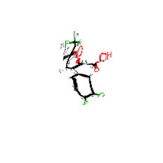 C[C@H]1[C@@H](c2ccc(F)c(F)c2)[C@H](C(=O)O)O[C@@]1(C)C(F)(F)F